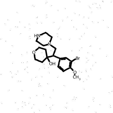 COc1ccc(C(CN2CCNCC2)C2(O)CCOCC2)cc1Br